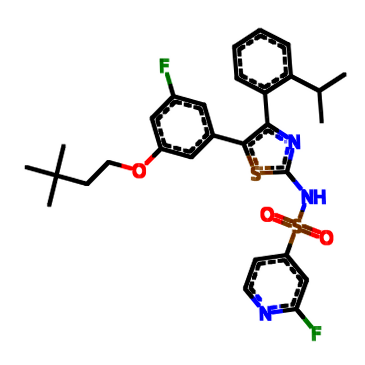 CC(C)c1ccccc1-c1nc(NS(=O)(=O)c2ccnc(F)c2)sc1-c1cc(F)cc(OCCC(C)(C)C)c1